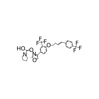 O=C(O)N1CCC[C@H]1c1nc(-c2ccc(OCCC=Cc3ccc(C(F)(F)F)cc3)c(C(F)(F)F)c2)co1